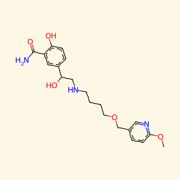 COc1ccc(COCCCCNCC(O)c2ccc(O)c(C(N)=O)c2)cn1